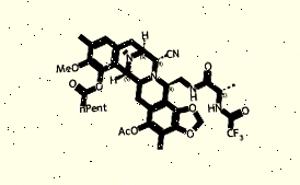 CCCCCC(=O)Oc1c(OC)c(C)cc2c1[C@H]1C3Cc4c(OC(C)=O)c(C)c5c(c4[C@H](CNC(=O)[C@H](C)NC(=O)C(F)(F)F)N3[C@@H](C#N)[C@H](C2)N1C)OCO5